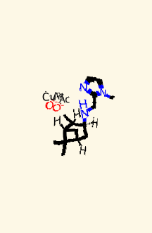 CC(=O)[O-].CC(=O)[O-].C[C@@H]1[C@@H](NCc2nccn2C)C[C@H]2C[C@@H]1C2(C)C.[Cu+2]